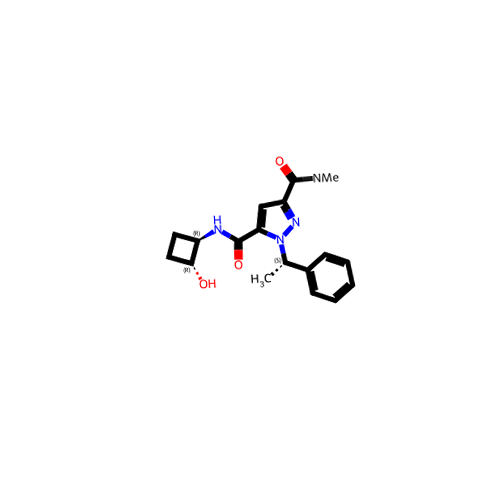 CNC(=O)c1cc(C(=O)N[C@@H]2CC[C@H]2O)n([C@@H](C)c2ccccc2)n1